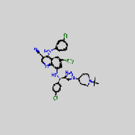 CC(C)(C)N1CCC(n2cc([C@@H](Nc3cc(Cl)cc4c(Nc5cccc(Cl)c5)c(C#N)cnc34)c3ccc(Cl)cc3)nn2)CC1